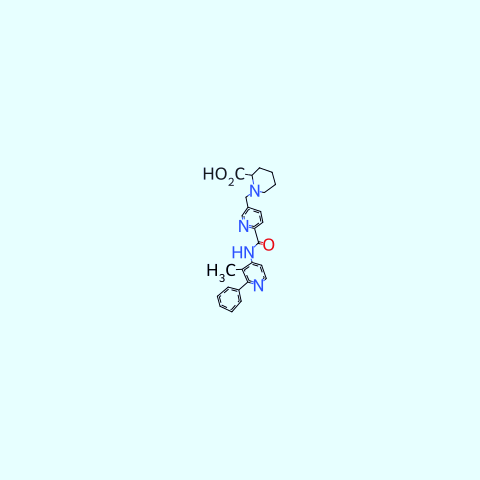 Cc1c(NC(=O)c2ccc(CN3CCCCC3C(=O)O)cn2)ccnc1-c1ccccc1